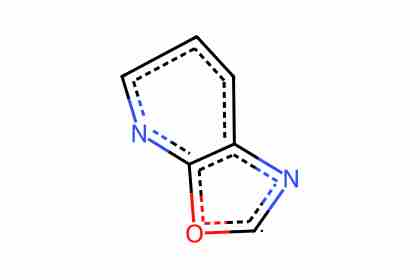 [c]1nc2cccnc2o1